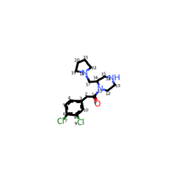 O=C(Cc1ccc(Cl)c(Cl)c1)N1CCNCC1CN1CCCC1